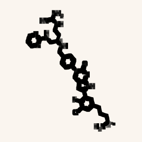 C[C@H](N)CCCc1cc(Cl)c(F)c(-c2cc3cn(-c4ccc(CN[C@H](CCNC(=N)N)CNc5ncccn5)cc4)c(=O)nc3[nH]2)c1